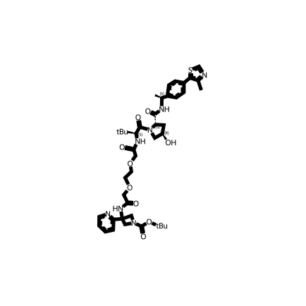 Cc1ncsc1-c1ccc([C@H](C)NC(=O)[C@@H]2C[C@@H](O)CN2C(=O)[C@@H](NC(=O)COCCOCC(=O)NC2(c3ccccn3)CN(C(=O)OC(C)(C)C)C2)C(C)(C)C)cc1